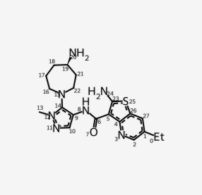 CCc1cnc2c(C(=O)Nc3cnn(C)c3N3CCC[C@@H](N)CC3)c(N)sc2c1